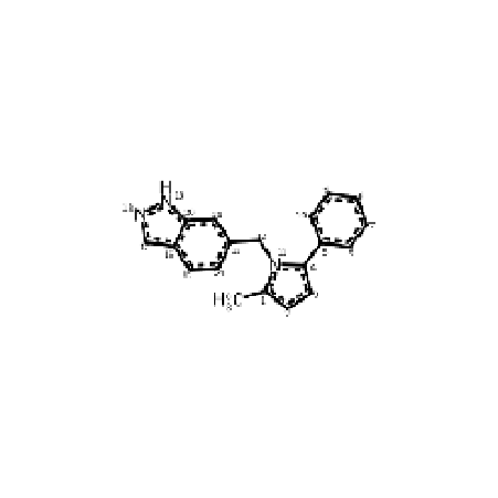 Cc1ccc(-c2ccccc2)n1Cc1ccc2cn[nH]c2c1